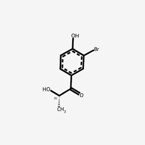 C[C@H](O)C(=O)c1ccc(O)c(Br)c1